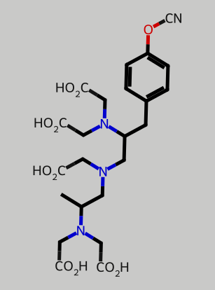 CC(CN(CC(=O)O)CC(Cc1ccc(OC#N)cc1)N(CC(=O)O)CC(=O)O)N(CC(=O)O)CC(=O)O